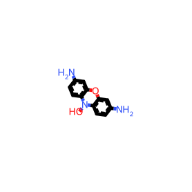 Nc1ccc2c(c1)Oc1cc(N)ccc1N2O